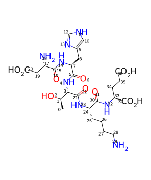 C[C@@H](O)[C@H](NC(=O)[C@H](Cc1c[nH]cn1)NC(=O)[C@@H](N)CC(=O)O)C(=O)N[C@@H](CCCCN)C(=O)N[C@@H](CCC(=O)O)C(=O)O